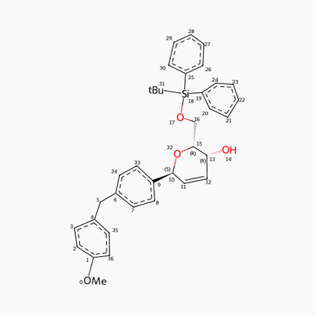 COc1ccc(Cc2ccc([C@@H]3C=C[C@@H](O)[C@@H](CO[Si](c4ccccc4)(c4ccccc4)C(C)(C)C)O3)cc2)cc1